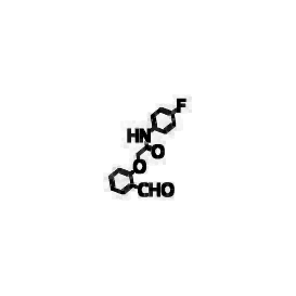 O=Cc1ccccc1OCC(=O)Nc1ccc(F)cc1